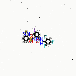 O=C(NCc1c(F)cc(F)cc1F)c1ccc(I)cc1NS(=O)(=O)c1cccc2nsnc12